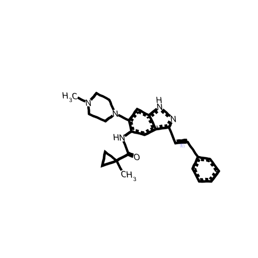 CN1CCN(c2cc3[nH]nc(/C=C/c4ccccc4)c3cc2NC(=O)C2(C)CC2)CC1